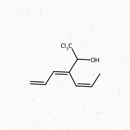 C=C/C=C(\C=C/C)C(O)C(Cl)(Cl)Cl